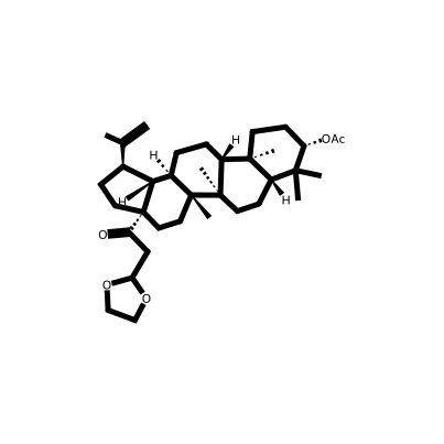 C=C(C)[C@@H]1CC[C@]2(C(=O)CC3OCCO3)CC[C@]3(C)[C@H](CC[C@@H]4[C@@]5(C)CC[C@H](OC(C)=O)C(C)(C)[C@@H]5CC[C@]43C)[C@@H]12